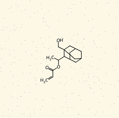 C=CC(=O)OC(C)C1C2CC3CC(C2)CC1(CO)C3